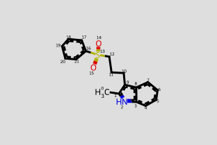 Cc1[nH]c2ccccc2c1CCCS(=O)(=O)c1ccccc1